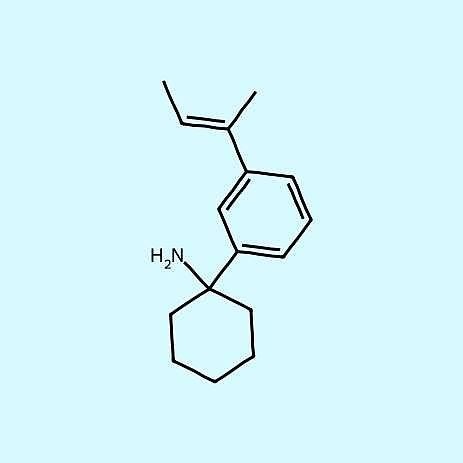 CC=C(C)c1cccc(C2(N)CCCCC2)c1